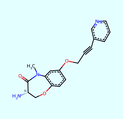 CN1C(=O)[C@@H](N)COc2ccc(OCC#Cc3cccnc3)cc21